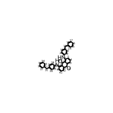 O=C1c2cccc(Nc3ccc(Cc4ccccc4)cc3)c2C(=O)c2c(Nc3ccc(Cc4ccccc4)cc3)cccc21